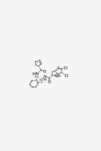 O=C(N[C@H]1c2ccccc2C[C@@H]1NC(=O)c1cc2sc(Cl)c(Cl)c2[nH]1)c1ccsc1